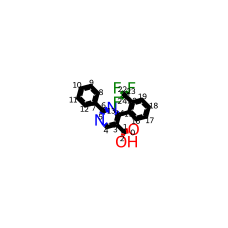 O=C(O)c1cnc(-c2ccccc2)nc1-c1ccccc1C(F)(F)F